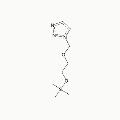 C[Si](C)(C)OCCOCn1ccnn1